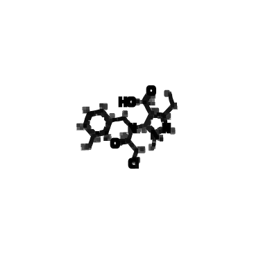 CCc1nn(C)c(N(Cc2cccc(C)c2)C(=O)CCl)c1C(=O)O